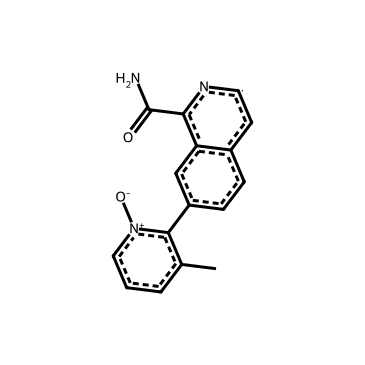 Cc1ccc[n+]([O-])c1-c1ccc2c[c]nc(C(N)=O)c2c1